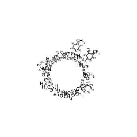 CC[C@H](C)[C@@H]1NC(=O)[C@H](C)N(C)C(=O)C[C@@H](C(=O)N2CCCCC2)N(C)C(=O)[C@H](C(C)C)N(C)C(=O)C2(CCCC2)NC(=O)C(CCc2ccc(C)cc2)N(C)C(=O)[C@H](CCc2ccc(C(F)(F)F)c(Cl)c2)NC(=O)CN(C)C(=O)[C@H](CC2CCCCC2)N(C)C(=O)CN(C)C(=O)CN(C)C1=O